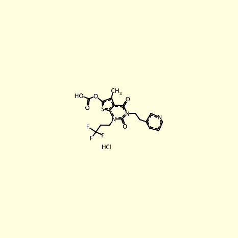 Cc1c(OC(=O)O)sc2c1c(=O)n(CCc1cccnc1)c(=O)n2CCC(F)(F)F.Cl